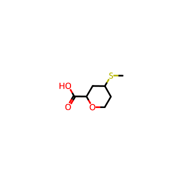 CSC1CCOC(C(=O)O)C1